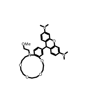 COCCN1CCOCCOCCOCCOc2cc(C3c4ccc(N(C)C)cc4Oc4cc(N(C)C)ccc43)ccc21